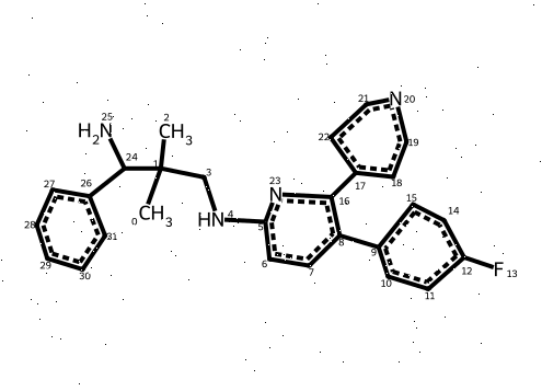 CC(C)(CNc1ccc(-c2ccc(F)cc2)c(-c2ccncc2)n1)C(N)c1ccccc1